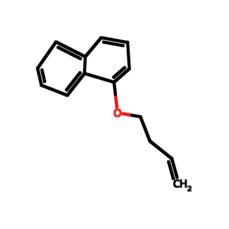 C=CCCOc1cccc2ccccc12